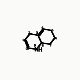 [C]1=CCC2=CCCCC2N1